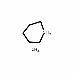 C.C1CC[SiH2]CC1